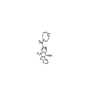 N=C(c1cnc(C(=O)N2CCCOCC2)cc1N)c1coc2ccccc12